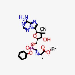 CC(C)OC(=O)[C@H](C)/N=C/[P@](=O)(OC[C@H]1O[C@@H](c2cnc3c(N)ncnn23)[C@](C)(C#N)[C@@H]1O)Oc1ccccc1